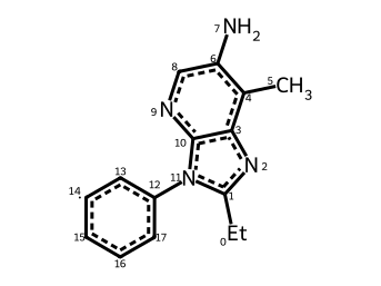 CCc1nc2c(C)c(N)cnc2n1-c1c[c]ccc1